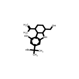 C=C(C)C1CCC(CO)C2Nc3cc(C(C)(C)CCCC)cc(O)c3C12